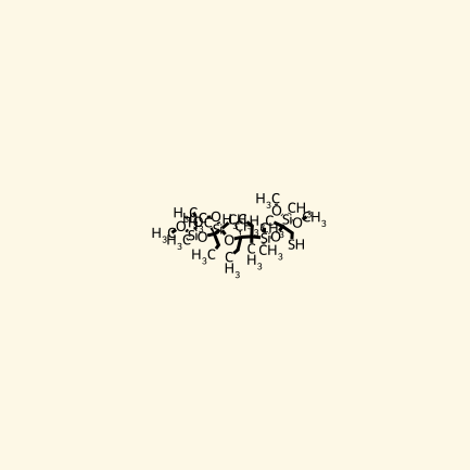 CCC(C)([C@@](C)(CC)O[Si](C)(OC)[C@](C)(CC)O[Si](C)(OC)OC)[Si](C)(C)OC(C)(CS)[Si](C)(OC)OC